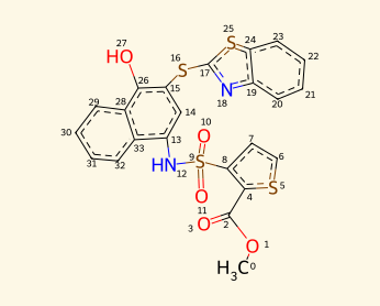 COC(=O)c1sccc1S(=O)(=O)Nc1cc(Sc2nc3ccccc3s2)c(O)c2ccccc12